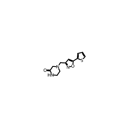 O=C1CN(Cc2cc(-c3cccs3)on2)CCN1